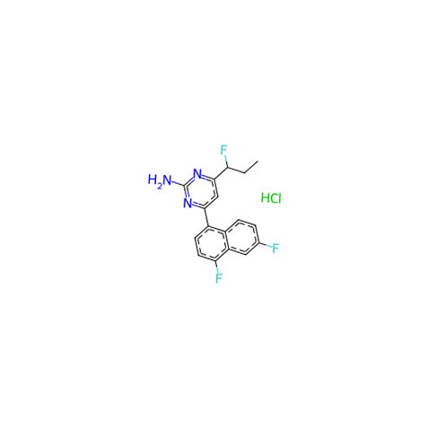 CCC(F)c1cc(-c2ccc(F)c3cc(F)ccc23)nc(N)n1.Cl